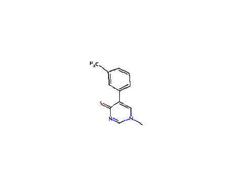 Cn1cnc(=S)c(-c2cccc(C(F)(F)F)c2)c1